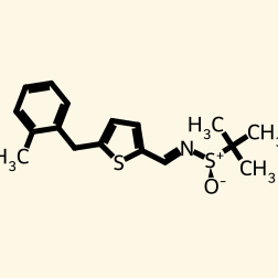 Cc1ccccc1Cc1ccc(/C=N/[S@+]([O-])C(C)(C)C)s1